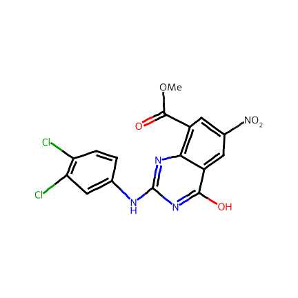 COC(=O)c1cc([N+](=O)[O-])cc2c(O)nc(Nc3ccc(Cl)c(Cl)c3)nc12